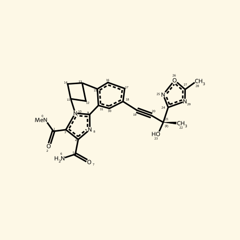 CNC(=O)c1c(C(N)=O)nc2n1C1CC(C1)c1ccc(C#C[C@@](C)(O)c3noc(C)n3)cc1-2